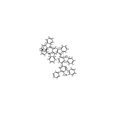 N#Cc1c(-c2ccccc2)nc(-c2ccc(-n3c4ccccc4c4cc(-n5c6ccccc6c6ccccc65)c5c(c6ccccc6n5-c5ccccc5)c43)c3oc4ccccc4c23)nc1-c1ccccc1